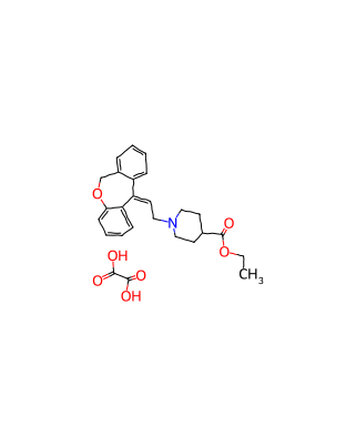 CCOC(=O)C1CCN(CC=C2c3ccccc3COc3ccccc32)CC1.O=C(O)C(=O)O